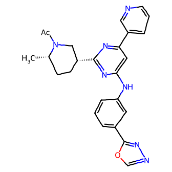 CC(=O)N1C[C@H](c2nc(Nc3cccc(-c4nnco4)c3)cc(-c3cccnc3)n2)CC[C@@H]1C